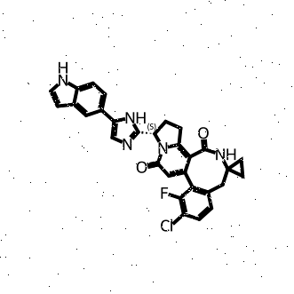 O=C1NC2(CC2)Cc2ccc(Cl)c(F)c2-c2cc(=O)n3c(c21)CC[C@H]3c1ncc(-c2ccc3[nH]ccc3c2)[nH]1